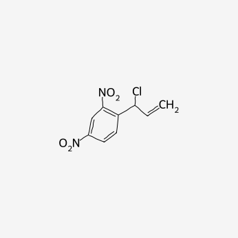 C=CC(Cl)c1ccc([N+](=O)[O-])cc1[N+](=O)[O-]